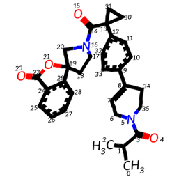 CC(C)C(=O)N1CC=C(c2ccc(C3(C(=O)N4CCC5(C4)OC(=O)c4ccccc45)CC3)cc2)CC1